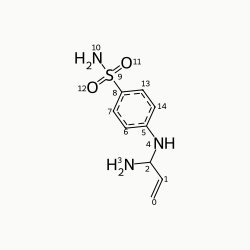 C=CC(N)Nc1ccc(S(N)(=O)=O)cc1